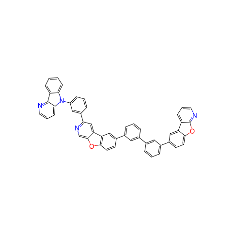 c1cc(-c2cccc(-c3ccc4oc5ncccc5c4c3)c2)cc(-c2ccc3oc4cnc(-c5cccc(-n6c7ccccc7c7ncccc76)c5)cc4c3c2)c1